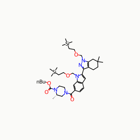 CCCCOC(=O)N1CCN(C(=O)c2ccc3cc(-c4nn(COCC[Si](C)(C)C)c5c4CCC(C)(C)C5)n(COCC[Si](C)(C)C)c3c2)C[C@@H]1C